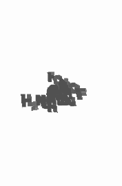 CC(C)(C)C(NC(=O)c1nn(Cc2ccc(F)cc2)c2ccc(F)cc12)C(=O)NCC(N)=O